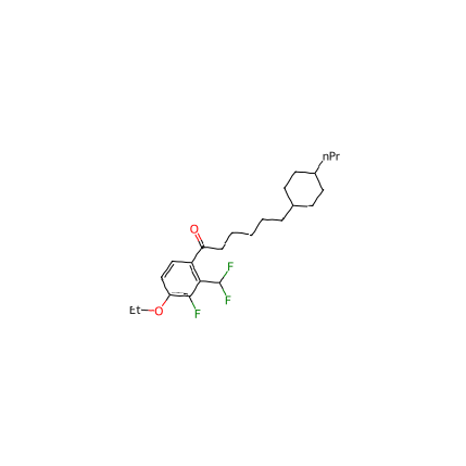 CCCC1CCC(CCCCCC(=O)c2ccc(OCC)c(F)c2C(F)F)CC1